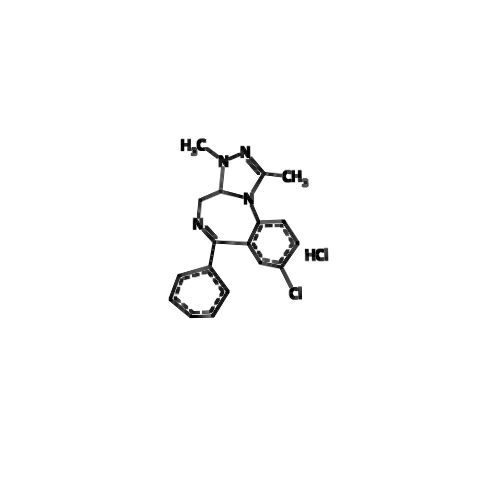 CC1=NN(C)C2CN=C(c3ccccc3)c3cc(Cl)ccc3N12.Cl